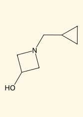 OC1CN(CC2CC2)C1